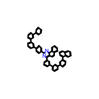 c1ccc(-c2cccc(-c3cccc(-c4ccc(-c5nc(-c6cccc(-c7cccc(-c8cccc(-c9cccc%10ccccc9%10)c8)c7)c6)c6ccc7ccccc7c6n5)cc4)c3)c2)cc1